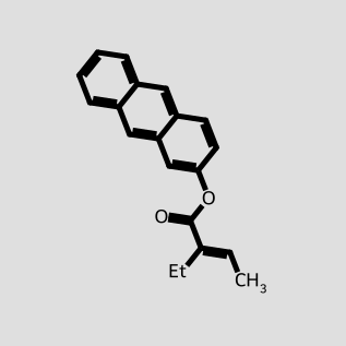 CC=C(CC)C(=O)Oc1ccc2cc3ccccc3cc2c1